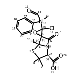 CC1(C)S[C@H]2N(C(=O)[C@]23OC3(Cl)[N+](C)(C=O)c2ccccc2)[C@H]1C(=O)O